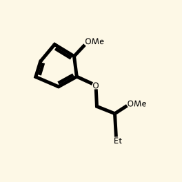 CCC(COc1ccccc1OC)OC